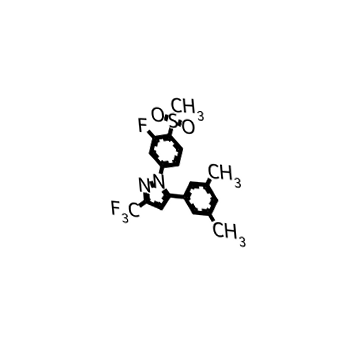 Cc1cc(C)cc(-c2cc(C(F)(F)F)nn2-c2ccc(S(C)(=O)=O)c(F)c2)c1